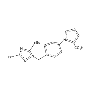 CCCCc1nc(C(C)C)nn1Cc1ccc(-n2cccc2C(=O)O)cc1